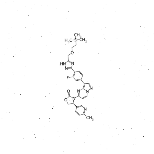 Cc1ccc([C@H]2COC(=O)N2c2ccn3ncc(-c4ccc(-c5n[nH]c(COCC[Si](C)(C)C)n5)c(F)c4)c3n2)cn1